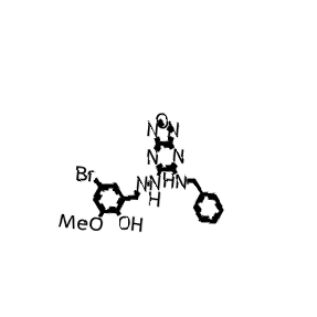 COc1cc(Br)cc(C=NNc2nc3nonc3nc2NCc2ccccc2)c1O